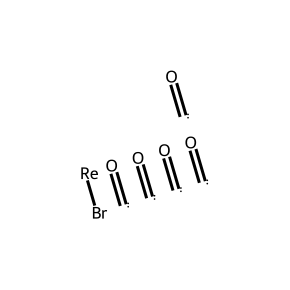 [Br][Re].[C]=O.[C]=O.[C]=O.[C]=O.[C]=O